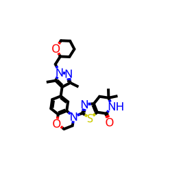 Cc1nn(CC2CCCCO2)c(C)c1-c1ccc2c(c1)N(c1nc3c(s1)C(=O)NC(C)(C)C3)CCO2